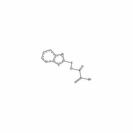 C=C(C(=O)OSc1nc2ccccc2s1)C(C)C